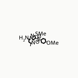 COc1ccc(S(=O)(=O)c2c(SC)nn3c(N)cc(C)nc23)cc1